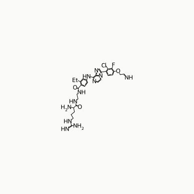 CCc1cc(Nc2nccn3c(-c4ccc(OCC=N)c(F)c4Cl)cnc23)ccc1C(=O)NCCNC(=O)C(N)CCCNC(=N)N